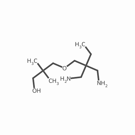 CCC(CN)(CN)COCC(C)(C)CO